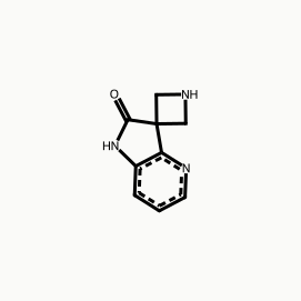 O=C1Nc2cccnc2C12CNC2